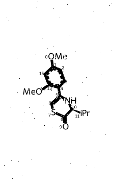 COc1ccc(C2=CSC(=O)[C@H](C(C)C)N2)c(OC)c1